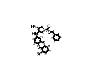 O=C(OCc1ccccc1)N1CC(Nc2ccc3c(c2)Sc2cccc(Br)c2S3)[C@H](O)C1